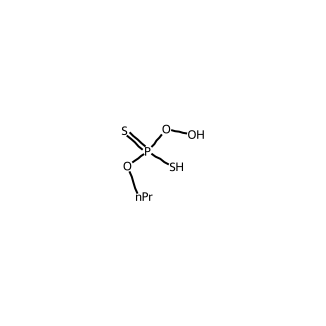 CCCOP(=S)(S)OO